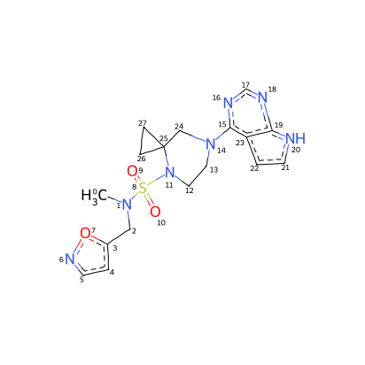 CN(Cc1ccno1)S(=O)(=O)N1CCN(c2ncnc3[nH]ccc23)CC12CC2